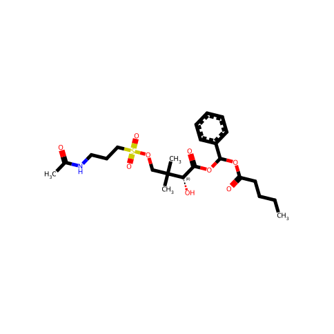 CCCCC(=O)OC(OC(=O)[C@H](O)C(C)(C)COS(=O)(=O)CCCNC(C)=O)c1ccccc1